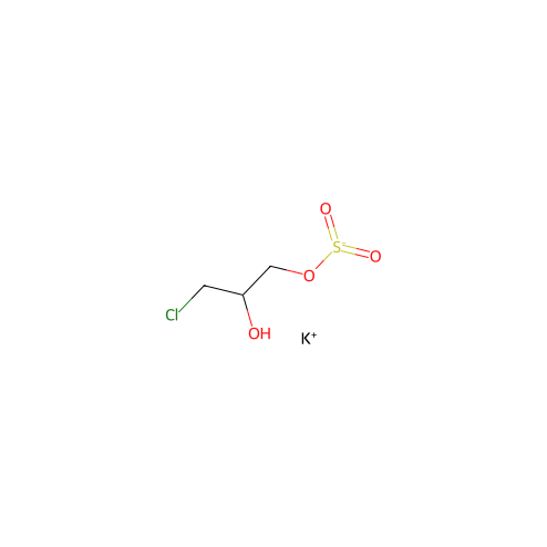 O=[S-](=O)OCC(O)CCl.[K+]